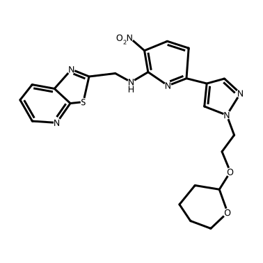 O=[N+]([O-])c1ccc(-c2cnn(CCOC3CCCCO3)c2)nc1NCc1nc2cccnc2s1